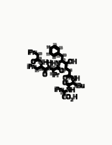 CCC(C)C(NC(=O)CCC(O)C(Cc1ccccc1)NC(=O)C(NC(=O)C(CC(C)C)NC(=O)CC(C)C)C(C)C)C(=O)NC(C(=O)O)C(C)C